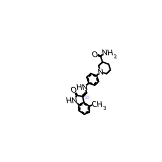 Cc1cccc2c1/C(=C/Nc1ccc(N3CCCC(C(N)=O)C3)cc1)C(=O)N2